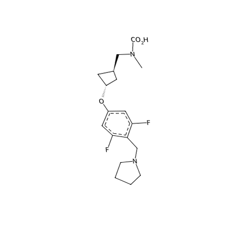 CN(C[C@H]1C[C@H](Oc2cc(F)c(CN3CCCC3)c(F)c2)C1)C(=O)O